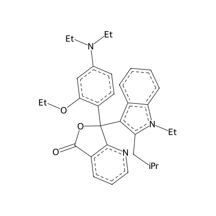 CCOc1cc(N(CC)CC)ccc1C1(c2c(CC(C)C)n(CC)c3ccccc23)OC(=O)c2cccnc21